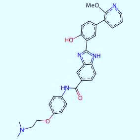 COc1ncccc1-c1ccc(O)c(-c2nc3cc(C(=O)Nc4ccc(OCCN(C)C)cc4)ccc3[nH]2)c1